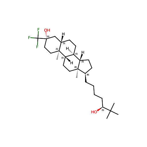 CC(C)(C)[C@@H](O)CCCC[C@@H]1CC[C@H]2[C@@H]3CC[C@H]4C[C@](O)(C(F)(F)F)CC[C@]4(C)[C@H]3CC[C@]12C